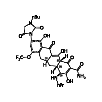 CCCCN1CC(=O)N(c2cc(OC(F)(F)F)c3c(c2O)C(=O)C2=C(O)[C@@H]4C(=O)C(C(N)=O)=C(O)[C@@H](NCCC)[C@@H]4C[C@@H]2C3)C1=O